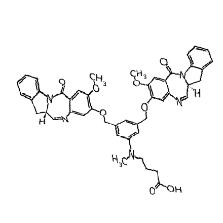 COc1cc2c(cc1OCc1cc(COc3cc4c(cc3OC)C(=O)N3c5ccccc5C[C@H]3C=N4)cc(N(C)CCCC(=O)O)c1)N=C[C@@H]1Cc3ccccc3N1C2=O